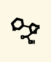 O=C(O)c1nscc1-c1cccnc1